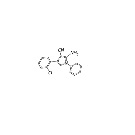 N#Cc1c(-c2ccccc2Cl)cn(-c2ccccc2)c1N